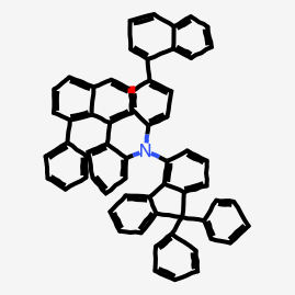 c1ccc(-c2cccc3cccc(-c4ccccc4N(c4ccc(-c5cccc6ccccc56)cc4)c4cccc5c4-c4ccccc4C5(c4ccccc4)c4ccccc4)c23)cc1